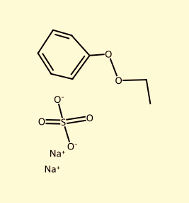 CCOOc1ccccc1.O=S(=O)([O-])[O-].[Na+].[Na+]